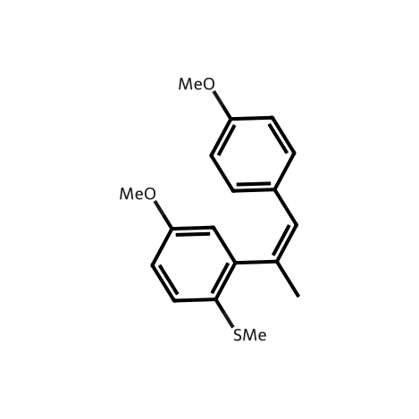 COc1ccc(C=C(C)c2cc(OC)ccc2SC)cc1